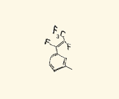 Cc1cccc(C(F)=C(F)C(F)(F)F)c1